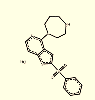 Cl.O=S(=O)(c1ccccc1)c1cc2c(N3CCCNCC3)nccc2s1